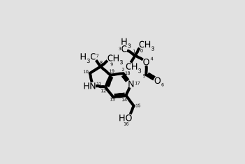 CC(C)(C)OC=O.CC1(C)CNc2cc(CO)ncc21